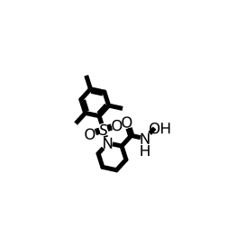 Cc1cc(C)c(S(=O)(=O)N2CCCCC2C(=O)NO)c(C)c1